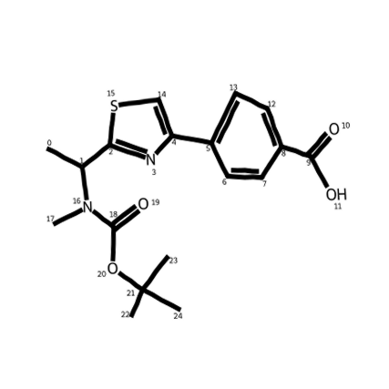 CC(c1nc(-c2ccc(C(=O)O)cc2)cs1)N(C)C(=O)OC(C)(C)C